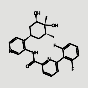 C[C@@H]1C[C@H](c2ccncc2NC(=O)c2cccc(-c3c(F)cccc3F)n2)C[C@H](O)[C@@]1(C)O